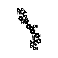 COC(=O)N[C@H](C(=O)N1CCC[C@H]1c1ncc(-c2ccc3c(c2)C(O)c2cc(-c4cnc([C@@H]5CCCN5C(=O)[C@H](C(C)C)N(C)C(=O)O)[nH]4)ccc2-3)[nH]1)C(C)C